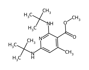 COC(=O)c1c(C)cc(NC(C)(C)C)nc1NC(C)(C)C